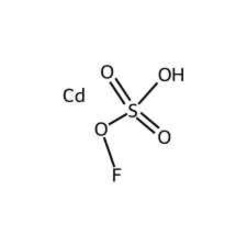 O=S(=O)(O)OF.[Cd]